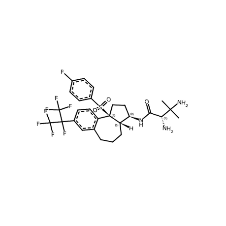 CC(C)(N)[C@H](N)C(=O)N[C@@H]1CC[C@@]2(S(=O)(=O)c3ccc(F)cc3)c3ccc(C(F)(C(F)(F)F)C(F)(F)F)cc3CCC[C@@H]12